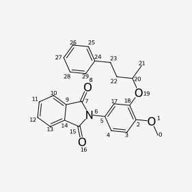 COc1ccc(N2C(=O)c3ccccc3C2=O)cc1OC(C)CCc1ccccc1